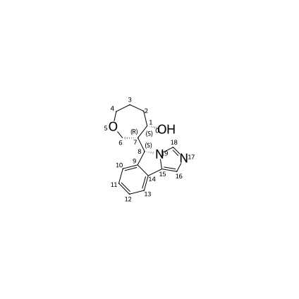 O[C@H]1CCCOC[C@H]1[C@H]1c2ccccc2-c2cncn21